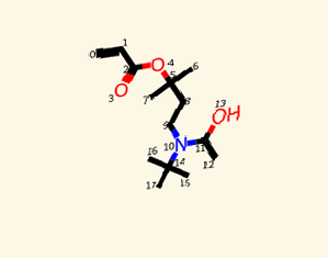 C=CC(=O)OC(C)(C)CCN(C(C)O)C(C)(C)C